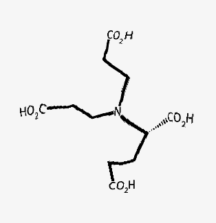 O=C(O)CC[C@@H](C(=O)O)N(CCC(=O)O)CCC(=O)O